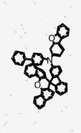 C1=C2c3ccccc3OC2CC(N(c2ccc(-c3ccccc3)cc2)c2ccc3c(c2)C2(c4ccccc4-3)c3ccc4ccccc4c3Oc3c2ccc2ccccc32)=C1